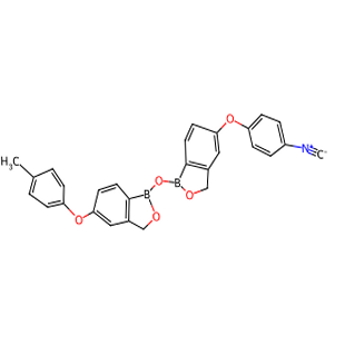 [C-]#[N+]c1ccc(Oc2ccc3c(c2)COB3OB2OCc3cc(Oc4ccc(C)cc4)ccc32)cc1